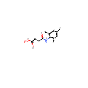 Cc1cc(C)c(NC(=O)CCC(=O)O)c(C)c1